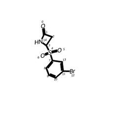 O=C1CC(S(=O)(=O)c2cccc(Br)c2)N1